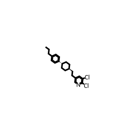 CCCc1ccc([C@H]2CC[C@H](CCc3cnc(Cl)c(Cl)c3)CC2)cc1